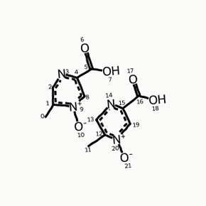 Cc1cnc(C(=O)O)c[n+]1[O-].Cc1cnc(C(=O)O)c[n+]1[O-]